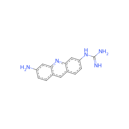 N=C(N)Nc1ccc2cc3ccc(N)cc3nc2c1